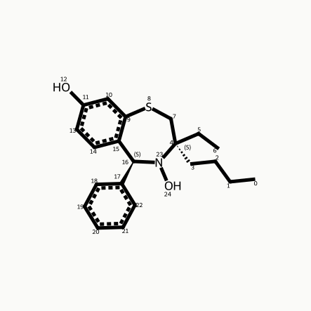 CCCC[C@@]1(CC)CSc2cc(O)ccc2[C@H](c2ccccc2)N1O